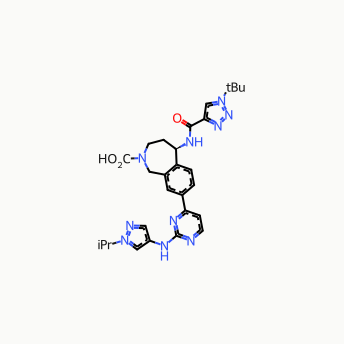 CC(C)n1cc(Nc2nccc(-c3ccc4c(c3)CN(C(=O)O)CC[C@H]4NC(=O)c3cn(C(C)(C)C)nn3)n2)cn1